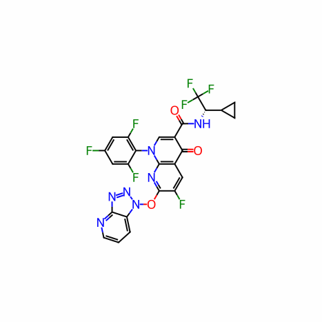 O=C(N[C@@H](C1CC1)C(F)(F)F)c1cn(-c2c(F)cc(F)cc2F)c2nc(On3nnc4ncccc43)c(F)cc2c1=O